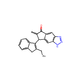 C=C1C(=O)c2cc3nn[nH]c3cc2C1C1=C(CC(C)CC)Cc2ccccc21